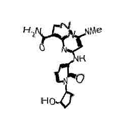 CNc1cc(Nc2cccn(C3CCC[C@H]3O)c2=O)nc2c(C(N)=O)cnn12